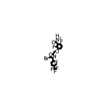 NC(=O)c1c(F)ccc(OCc2nc(-c3ccc(C(F)(F)F)cn3)c(Br)o2)c1F